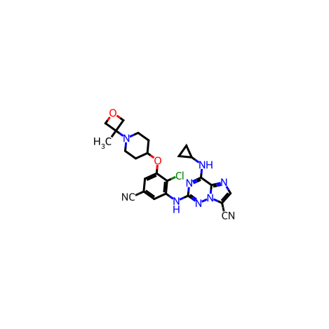 CC1(N2CCC(Oc3cc(C#N)cc(Nc4nc(NC5CC5)c5ncc(C#N)n5n4)c3Cl)CC2)COC1